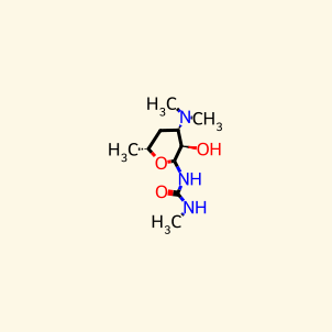 CNC(=O)NC1O[C@H](C)C[C@H](N(C)C)[C@H]1O